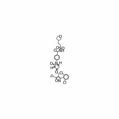 O=C(NS(=O)(=O)CCC1CCOC1)c1ccc(N2C(=O)[C@@H]3C[C@H]2C[C@H]3OCc2c(-c3c(Cl)cccc3Cl)noc2C2CC2)cc1